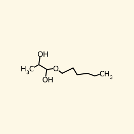 CCCCCCOC(O)C(C)O